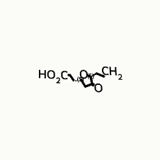 C=CC[C@@H]1O[C@@H](CCC(=O)O)CC1=O